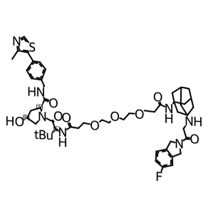 Cc1ncsc1-c1ccc(CNC(=O)[C@@H]2C[C@@H](O)CN2C(=O)[C@@H](NC(=O)CCOCCOCCOCCC(=O)NC23CC4CC(CC(NCC(=O)N5Cc6ccc(F)cc6C5)(C4)C2)C3)C(C)(C)C)cc1